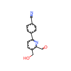 N#Cc1ccc(-c2ccc(CO)c(C=O)n2)cc1